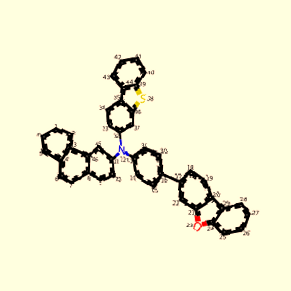 c1ccc2c(c1)ccc1ccc(N(c3ccc(-c4ccc5c(c4)oc4ccccc45)cc3)c3ccc4c(c3)sc3ccccc34)cc12